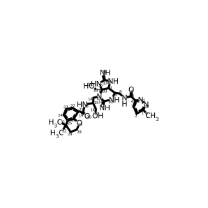 Cc1ccc(C(=O)NCC2NC(=N)N(CC(CO)NC(=O)c3cccc4c3OCCC4(C)C)[C@@]3(CO)NC(=N)NC23)nn1